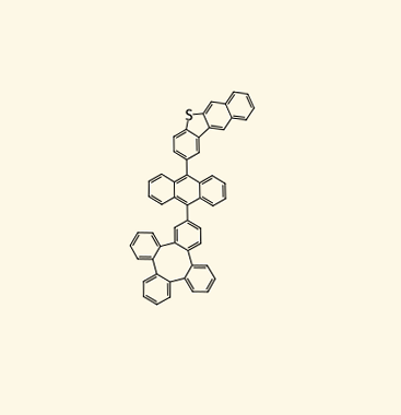 c1ccc2c(c1)-c1ccccc1-c1ccc(-c3c4ccccc4c(-c4ccc5sc6cc7ccccc7cc6c5c4)c4ccccc34)cc1-c1ccccc1-2